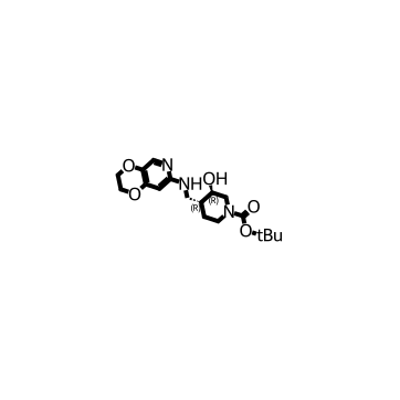 CC(C)(C)OC(=O)N1CC[C@H](CNc2cc3c(cn2)OCCO3)[C@@H](O)C1